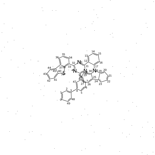 c1ccc(-c2cccc(-c3nc(-c4ccccc4-n4c5ccccc5c5ccccc54)nc(-c4cccc5c4sc4ccccc45)n3)c2)cc1